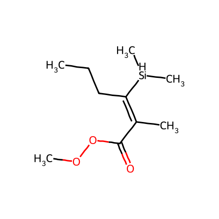 CCCC(=C(C)C(=O)OOC)[SiH](C)C